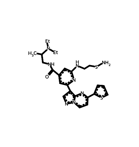 CCN(CC)C(C)CNC(=O)c1cc(NCCSN)nc(-c2cnn3ccc(-c4cccs4)nc23)c1